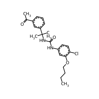 CCCCOc1cc(NC(=O)NC(C)(C)c2cccc(C(C)=O)c2)ccc1Cl